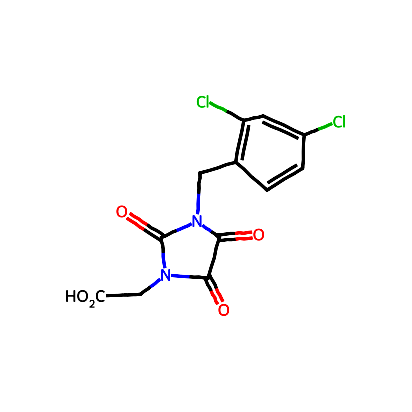 O=C(O)CN1C(=O)C(=O)N(Cc2ccc(Cl)cc2Cl)C1=O